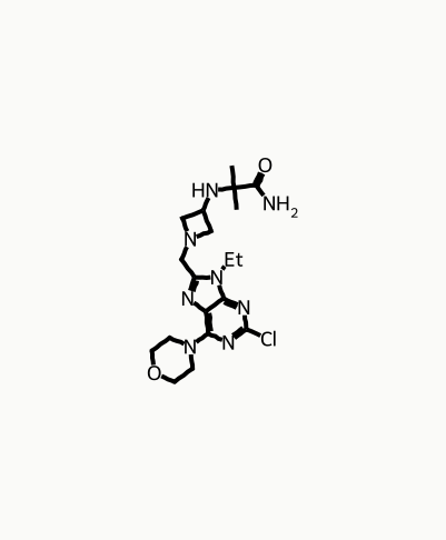 CCn1c(CN2CC(NC(C)(C)C(N)=O)C2)nc2c(N3CCOCC3)nc(Cl)nc21